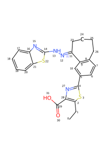 CCc1sc(-c2ccc3c(c2)/C(=N/Nc2nc4ccccc4s2)CCCC3)nc1C(=O)O